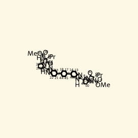 COC(=O)N[C@H](C(=O)N1C[C@@]2(c3nc4ccc(-c5ccc(-c6ccc7nc([C@@H]8[C@H]9CC[C@H](C9)N8C(=O)[C@@H](NC(=O)OC)C(C)C)[nH]c7c6)cc5)cc4[nH]3)CC[C@@H]1C2)C(C)C